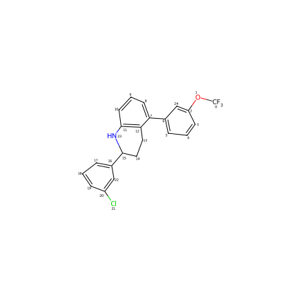 FC(F)(F)Oc1cccc(-c2cccc3c2CCC(c2cccc(Cl)c2)N3)c1